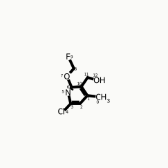 Cc1cc(Cl)nc(OCF)c1CO